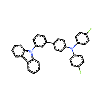 Fc1ccc(N(c2ccc(F)cc2)c2ccc(-c3cccc(-n4c5ccccc5c5ccccc54)c3)cc2)cc1